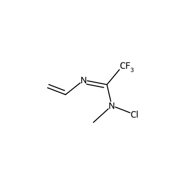 C=C/N=C(\N(C)Cl)C(F)(F)F